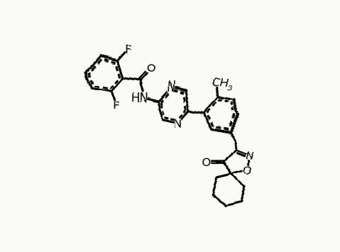 Cc1ccc(C2=NOC3(CCCCC3)C2=O)cc1-c1cnc(NC(=O)c2c(F)cccc2F)cn1